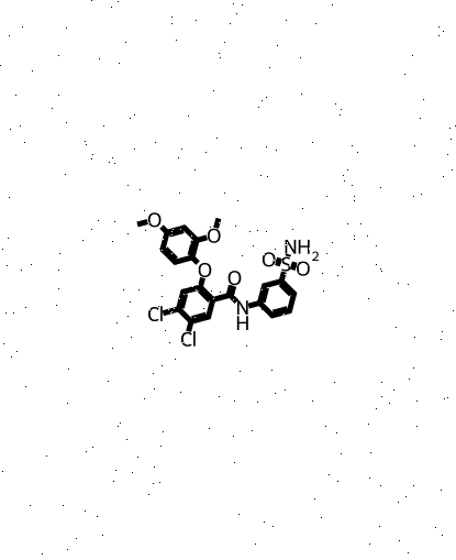 COc1ccc(Oc2cc(Cl)c(Cl)cc2C(=O)Nc2cccc(S(N)(=O)=O)c2)c(OC)c1